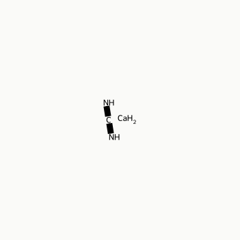 N=C=N.[CaH2]